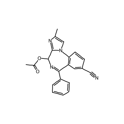 CC(=O)OC1N=C(c2ccccc2)c2cc(C#N)ccc2-n2cc(C)nc21